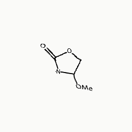 COC1COC(=O)[N]1